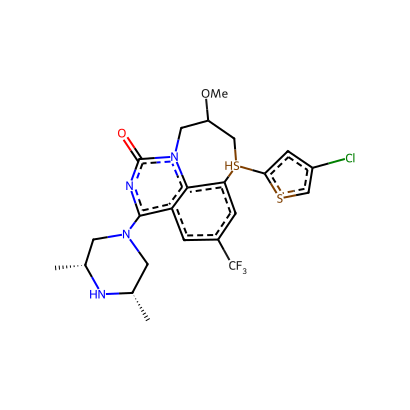 COC1Cn2c(=O)nc(N3C[C@@H](C)N[C@@H](C)C3)c3cc(C(F)(F)F)cc(c32)[SH](c2cc(Cl)cs2)C1